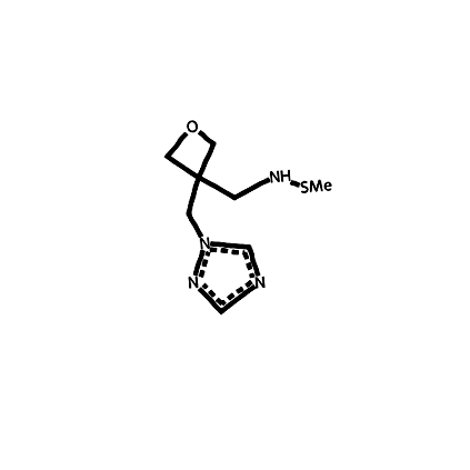 CSNCC1(Cn2cncn2)COC1